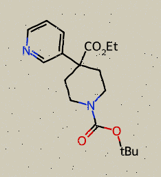 CCOC(=O)C1(c2cccnc2)CCN(C(=O)OC(C)(C)C)CC1